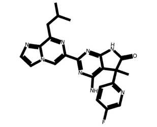 CC(C)Cc1nc(-c2nc(N)c3c(n2)NC(=O)C3(C)c2ccc(F)cn2)cn2ccnc12